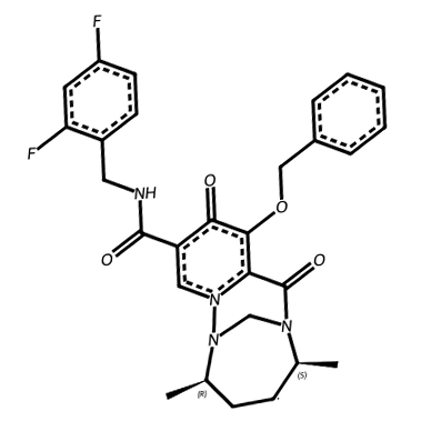 C[C@@H]1C[CH][C@H](C)N2CN1n1cc(C(=O)NCc3ccc(F)cc3F)c(=O)c(OCc3ccccc3)c1C2=O